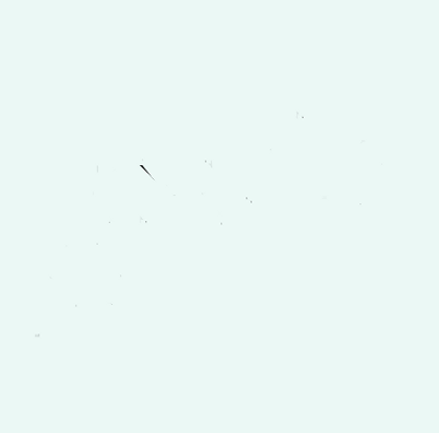 Cn1cc(-c2noc([C@H](CO)NC(=O)c3ccc(F)cc3)n2)c2ccccc21